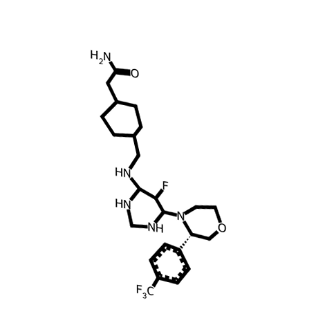 NC(=O)CC1CCC(CNC2NCNC(N3CCOC[C@@H]3c3ccc(C(F)(F)F)cc3)C2F)CC1